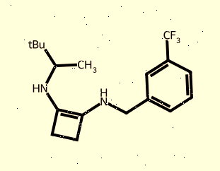 CC(NC1=C(NCc2cccc(C(F)(F)F)c2)CC1)C(C)(C)C